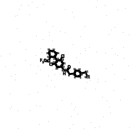 CCSc1ccc(CC(=O)Nc2cc(Cl)c(-c3ccccc3OC(F)(F)F)c(Cl)c2)cc1